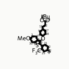 COc1ccc2c(Oc3ccc(C=CC(=O)OC(C)(C)C)cc3)c(-c3ccc(F)cc3C(F)(F)F)sc2c1